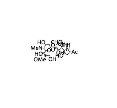 CNC1C(O)CC(OC=O)(O[C@H](CO)[C@@H](O)C(O)C2NC(C(C)=O)CC2O)OC1[C@H](O)[C@@H](CO)OC